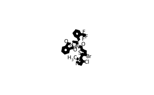 Cn1ncc(Cl)c1-c1sc(C(=O)N[C@@H](Cc2ccccc2C(F)(F)F)CN2C(=O)c3ccccc3C2=O)cc1Br